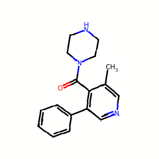 Cc1cn[c]c(-c2ccccc2)c1C(=O)N1CCNCC1